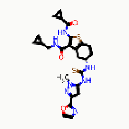 Cn1nc(-c2ncco2)cc1NC(=S)N[C@H]1CCc2sc(NC(=O)C3CC3)c(C(=O)NCC3CC3)c2C1